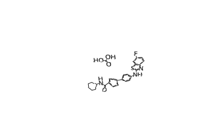 O=C(NC1CCCCC1)c1ccc(-c2ccc(Nc3nc4ccc(F)cc4s3)cc2)cc1.O=C(O)O